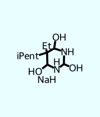 CCCC(C)C1(CC)C(O)NC(O)NC1O.[NaH]